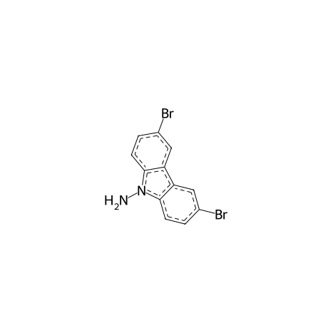 Nn1c2ccc(Br)cc2c2cc(Br)ccc21